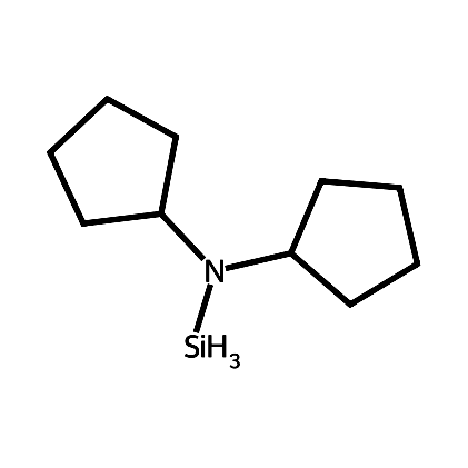 [SiH3]N(C1CCCC1)C1CCCC1